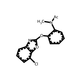 CC(=O)N(C)c1ccccc1Oc1nc2cccc(Cl)c2o1